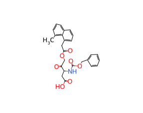 Cc1cccc2cccc(CC(=O)OCC(=O)C(CC(=O)O)NC(=O)OCc3ccccc3)c12